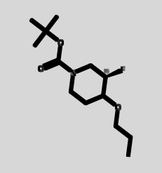 CCCOC1CCN(C(=O)OC(C)(C)C)C[C@H]1F